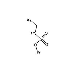 CCOS(=O)(=O)NCC(C)C